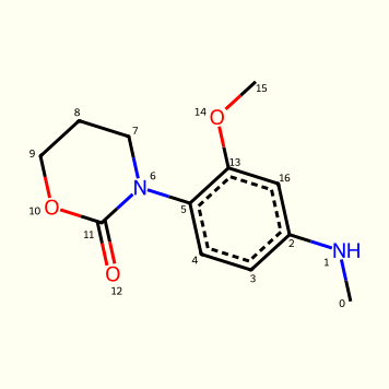 CNc1ccc(N2CCCOC2=O)c(OC)c1